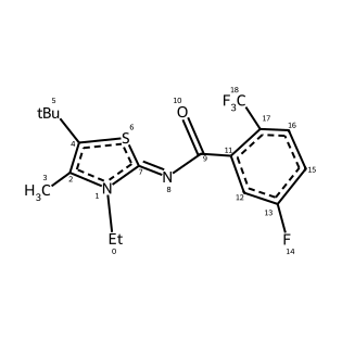 CCn1c(C)c(C(C)(C)C)s/c1=N\C(=O)c1cc(F)ccc1C(F)(F)F